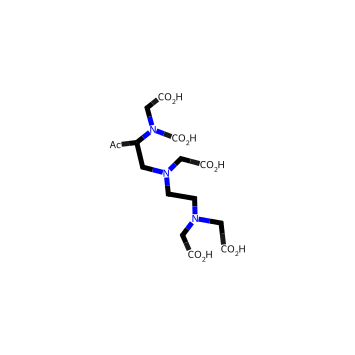 CC(=O)C(CN(CCN(CC(=O)O)CC(=O)O)CC(=O)O)N(CC(=O)O)C(=O)O